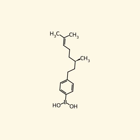 CC(C)=CCC[C@@H](C)CCc1ccc(B(O)O)cc1